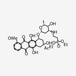 CCOP(=O)(CCN[C@H]1C[C@H](O[C@H]2C[C@](O)(C(C)=O)Cc3c(O)c4c(c(O)c32)C(=O)c2c(OC)cccc2C4=O)O[C@@H](C)[C@H]1O)OCC